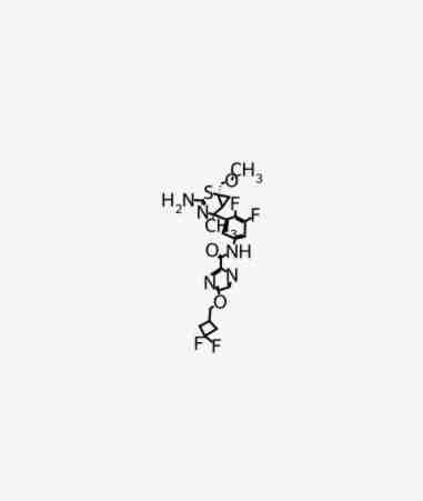 COC[C@]12CC1[C@@](C)(c1cc(NC(=O)c3cnc(OCC4CC(F)(F)C4)cn3)cc(F)c1F)N=C(N)S2